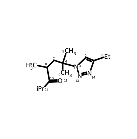 CCc1cn(C(C)(C)CC(C)C(=O)C(C)C)nn1